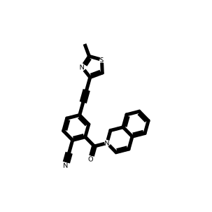 Cc1nc(C#Cc2ccc(C#N)c(C(=O)N3C=Cc4ccccc4C3)c2)cs1